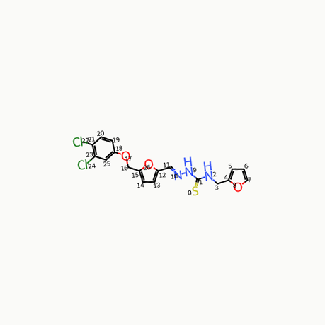 S=C(NCc1ccco1)N/N=C/c1ccc(COc2ccc(Cl)c(Cl)c2)o1